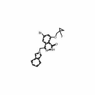 O=c1[nH]nc(Cn2cc3ccccc3c2)c2cc(Br)cc(OCC3(F)CC3)c12